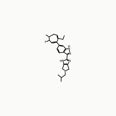 CCC1=CCC(C)C(F)C=C1c1ccc2c(-c3nc4c([nH]3)CN(CC(C)C)C4)n[nH]c2c1